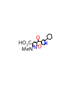 CNc1nc2oc3cnc(C4CCCCC4)cc3c(=O)c2cc1C(=O)O